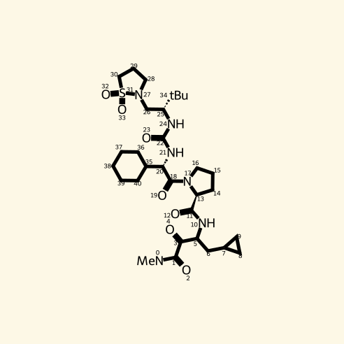 CNC(=O)C(=O)C(CC1CC1)NC(=O)[C@@H]1CCCN1C(=O)[C@@H](NC(=O)N[C@H](CN1CCCS1(=O)=O)C(C)(C)C)C1CCCCC1